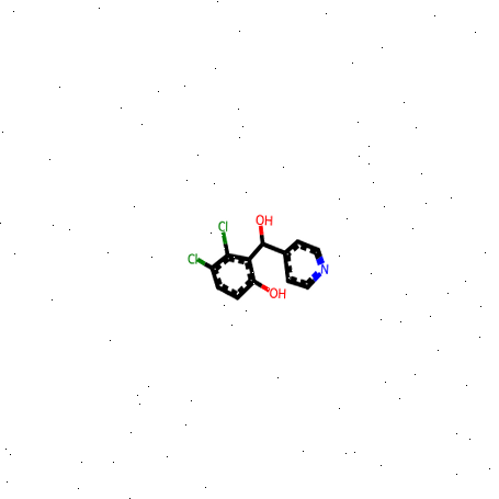 Oc1ccc(Cl)c(Cl)c1C(O)c1ccncc1